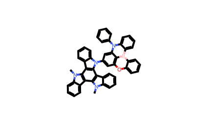 Cn1c2ccccc2c2c1c1c3ccccc3n(-c3cc4c5c(c3)N(c3ccccc3)c3ccccc3B5c3ccccc3O4)c1c1c3ccccc3n(C)c21